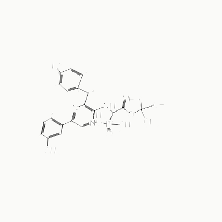 Cc1cccc(-c2cnc(NC(C(=O)OC(C)(C)C)P(C)(C)=O)c(Cc3ccc(F)cc3)n2)c1